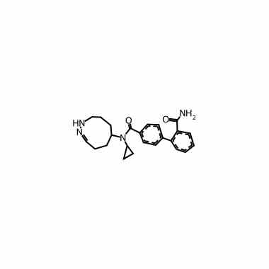 NC(=O)c1ccccc1-c1ccc(C(=O)N(C2CC/C=N\NCCC2)C2CC2)cc1